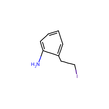 Nc1ccccc1CCI